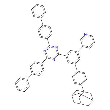 c1ccc(-c2ccc(-c3nc(-c4ccc(-c5ccccc5)cc4)nc(-c4cc(-c5ccc(C67CC8CC(CC(C8)C6)C7)cc5)cc(-c5cccnc5)c4)n3)cc2)cc1